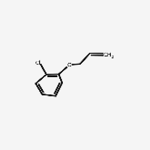 C=CCOc1ccc[c]c1Cl